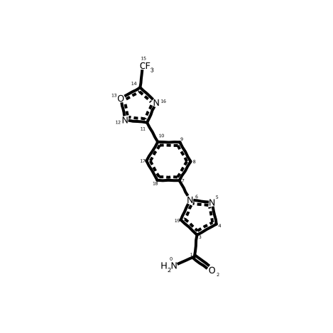 NC(=O)c1cnn(-c2ccc(-c3noc(C(F)(F)F)n3)cc2)c1